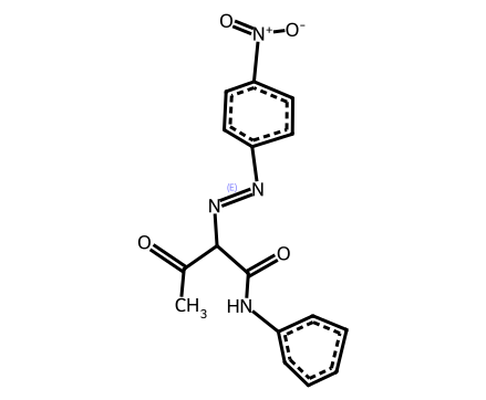 CC(=O)C(/N=N/c1ccc([N+](=O)[O-])cc1)C(=O)Nc1ccccc1